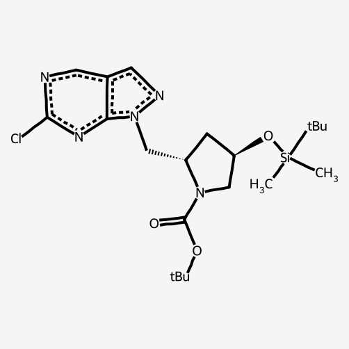 CC(C)(C)OC(=O)N1C[C@H](O[Si](C)(C)C(C)(C)C)C[C@H]1Cn1ncc2cnc(Cl)nc21